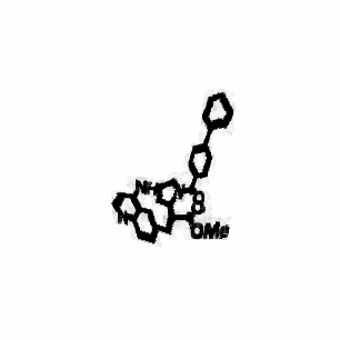 COC(=O)C(Cc1ccc2nccc(N)c2c1)C1CCCN1C(=O)c1ccc(-c2ccccc2)cc1